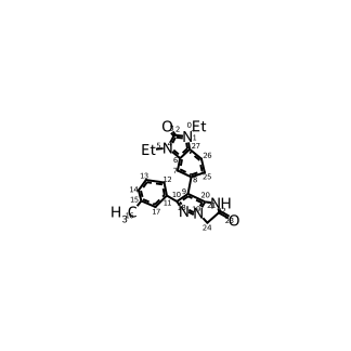 CCn1c(=O)n(CC)c2cc(-c3c(-c4cccc(C)c4)nn4c3NC(=O)C4)ccc21